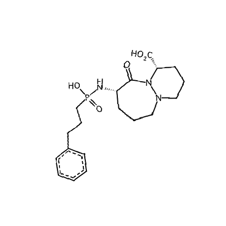 O=C(O)[C@@H]1CCCN2CCC[C@H](NP(=O)(O)CCCc3ccccc3)C(=O)N12